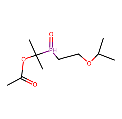 CC(=O)OC(C)(C)[PH](=O)CCOC(C)C